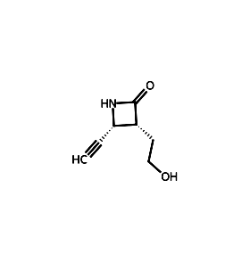 C#C[C@@H]1NC(=O)[C@@H]1CCO